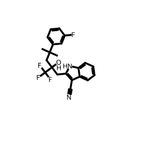 CC(C)(CC(O)(Cc1[nH]c2ccccc2c1C#N)C(F)(F)F)c1cccc(F)c1